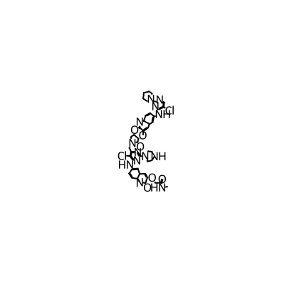 CNC(=O)COC1=CC2C=C(Nc3nc(N4CCNCC4)nc(CN4CC[C@H](OC5=CC6C=C(Nc7nc(N8CCCCC8)ncc7Cl)C=CC6N(C)C5=O)C4=O)c3Cl)C=CC2N(C)C1=O